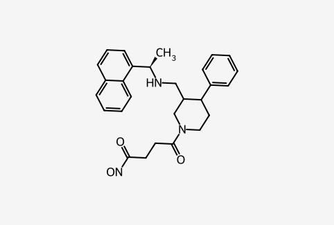 C[C@@H](NCC1CN(C(=O)CCC(=O)N=O)CCC1c1ccccc1)c1cccc2ccccc12